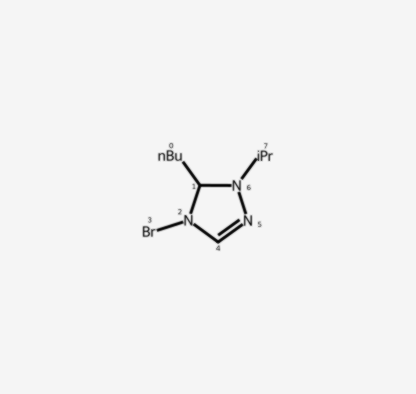 CCCCC1N(Br)C=NN1C(C)C